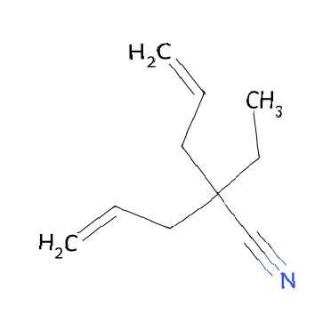 C=CCC(C#N)(CC)CC=C